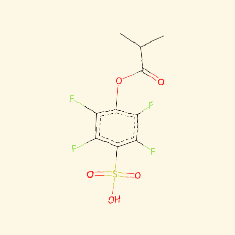 CC(C)C(=O)Oc1c(F)c(F)c(S(=O)(=O)O)c(F)c1F